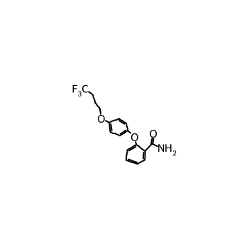 NC(=O)c1ccccc1Oc1ccc(OCCCC(F)(F)F)cc1